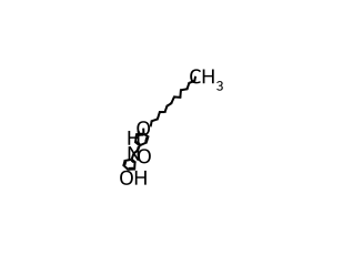 CCCCCCCCCCCCCCOc1ccc(C(=O)Nc2ccc(O)cc2)cc1